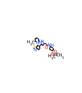 Cc1cccc(-n2nc(CC(=O)Nc3ccc(S(=O)(=O)N(C)C)cc3)cc2-c2ccc3ncsc3c2)n1